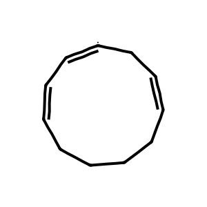 [C]1=CC=CCCCCC=CC1